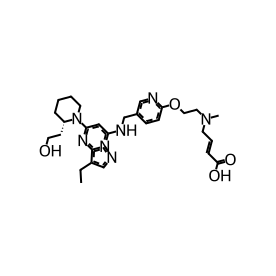 CCc1cnn2c(NCc3ccc(OCCN(C)C/C=C/C(=O)O)nc3)cc(N3CCCC[C@H]3CCO)nc12